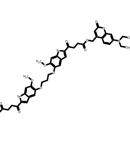 CCN(CC)c1ccc2c(COC(=O)CCC(=O)c3cc4cc(OCCCOc5cc6cc(C(=O)CCC(=O)O)[se]c6cc5OC)c(OC)cc4[se]3)cc(=O)oc2c1